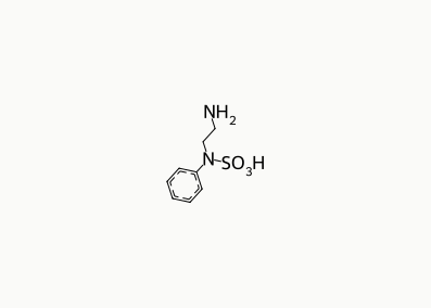 NCCN(c1ccccc1)S(=O)(=O)O